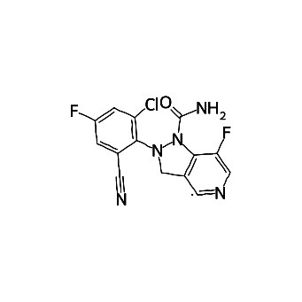 N#Cc1cc(F)cc(Cl)c1N1Cc2[c]ncc(F)c2N1C(N)=O